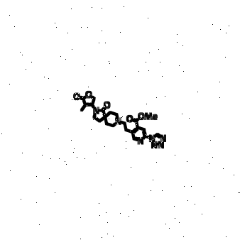 COC(=O)c1cc(-n2cnnn2)ncc1CCN1CCC2(CC1)CCN(C1=C(C)C(=O)OC1)C2=O